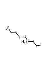 CCC[SiH2]CCCCBr